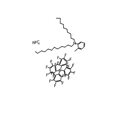 CCCCCCCCCCCCN(CCCCCCCCCC)c1ccccc1C.Fc1c(F)c(F)c([B-](c2c(F)c(F)c(F)c(F)c2F)(c2c(F)c(F)c(F)c(F)c2F)c2c(F)c(F)c(F)c(F)c2F)c(F)c1F.[NH4+]